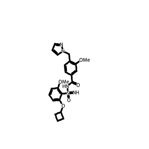 COc1cc(C(=O)NS(=N)(=O)c2c(OC)cccc2OC2CCC2)ccc1Cn1cccn1